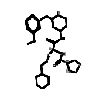 COc1cccc(CC2CC(NC(=O)[C@H](CSCC3CCCCC3)NC(=O)[C@@H]3CSCN3)CCN2)c1